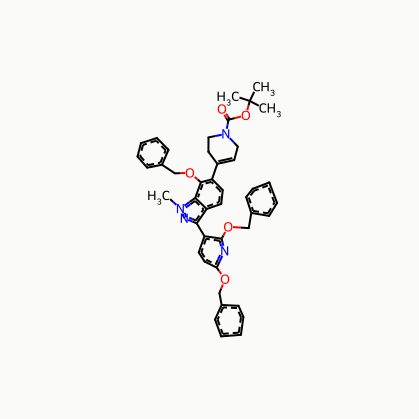 Cn1nc(-c2ccc(OCc3ccccc3)nc2OCc2ccccc2)c2ccc(C3=CCN(C(=O)OC(C)(C)C)CC3)c(OCc3ccccc3)c21